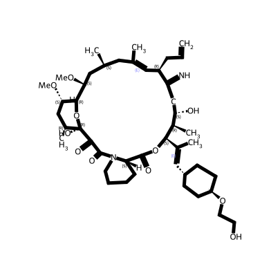 C=CC[C@@H]1/C=C(\C)C[C@H](C)C[C@H](OC)[C@H]2O[C@@](O)(C(=O)C(=O)N3CCCC[C@H]3C(=O)O[C@H](/C(C)=C/[C@H]3CC[C@H](OCCO)CC3)[C@H](C)[C@@H](O)CC1=N)[C@H](C)C[C@@H]2OC